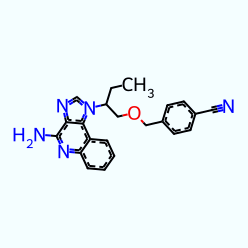 CCC(COCc1ccc(C#N)cc1)n1cnc2c(N)nc3ccccc3c21